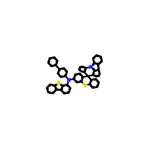 c1ccc(-c2ccc(N(c3ccc4c(c3)Sc3ccccc3C43c4ccccc4-n4c5ccccc5c5cccc3c54)c3cccc4c3sc3ccccc34)cc2)cc1